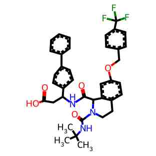 CC(C)(C)NC(=O)N1CCc2ccc(OCc3ccc(C(F)(F)F)cc3)cc2C1C(=O)NC(CC(=O)O)c1ccc(-c2ccccc2)cc1